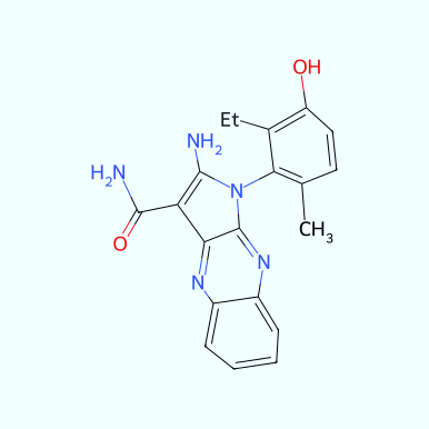 CCc1c(O)ccc(C)c1-n1c(N)c(C(N)=O)c2nc3ccccc3nc21